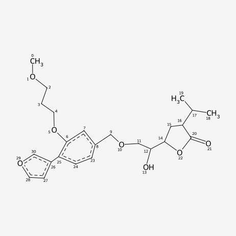 COCCCOc1cc(COCC(O)C2CC(C(C)C)C(=O)O2)ccc1-c1ccoc1